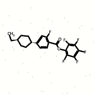 CC[C@H]1CC[C@H](c2ccc(C(=O)Oc3c(F)c(F)c(F)c(F)c3F)c(F)c2)CC1